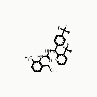 CCc1cccc(C)c1NC(=O)N[C@@H](c1ccc(C(F)(F)F)cc1)c1ncccc1C(F)(F)F